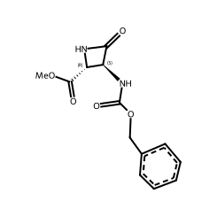 COC(=O)[C@@H]1NC(=O)[C@H]1NC(=O)OCc1ccccc1